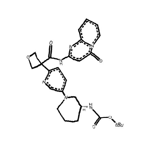 CC(C)(C)OC(=O)N[C@@H]1CCCN(c2ccc(C3(C(=O)Nc4cc(=O)n5ccccc5n4)COC3)nc2)C1